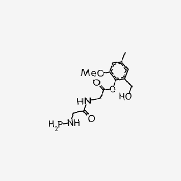 COc1cc(C)cc(CO)c1OC(=O)CNC(=O)CNP